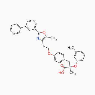 Cc1cccc(OC(C)(Cc2ccc(OCCc3nc(-c4cccc(-c5ccccc5)c4)oc3C)cc2)C(=O)O)c1